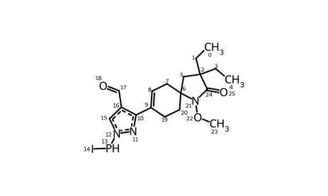 CCC1(CC)CC2(CC=C(c3nn(PI)cc3C=O)CC2)N(OC)C1=O